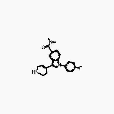 CN(C)C(=O)c1ccc2c(c1)c(C1=CCNCC1)cn2-c1ccc(F)cc1